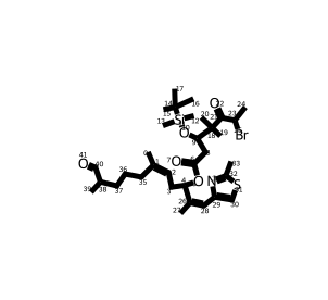 CC(=CCC(OC(=O)CC(O[Si](C)(C)C(C)(C)C)C(C)(C)C(=O)C(C)Br)C(C)=Cc1csc(C)n1)CCCC(C)C=O